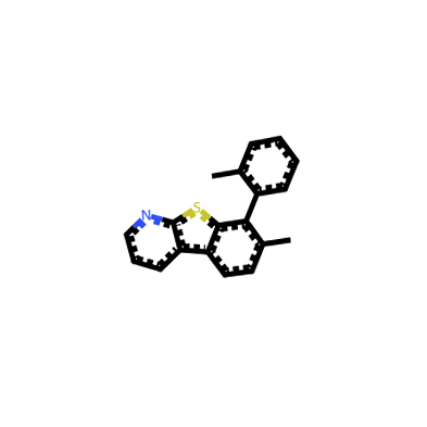 Cc1ccccc1-c1c(C)ccc2c1sc1ncccc12